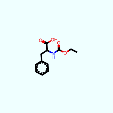 CCOC(=O)NC(Cc1ccccc1)C(=O)O